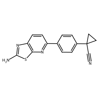 N#CC1(c2ccc(-c3ccc4nc(N)sc4n3)cc2)CC1